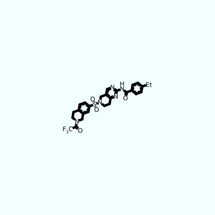 CCc1ccc(C(=O)Nc2ncc3c(n2)CCN(S(=O)(=O)c2ccc4c(c2)CN(C(=O)C(F)(F)F)CC4)C3)cc1